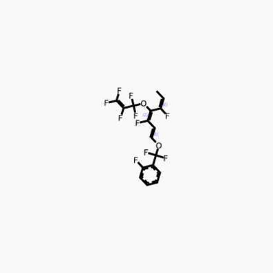 C\C=C(F)/C(OC(F)(F)C(F)=C(F)F)=C(F)\C=C\OC(F)(F)c1ccccc1F